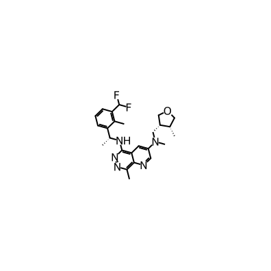 Cc1c(C(F)F)cccc1[C@@H](C)Nc1nnc(C)c2ncc(N(C)C[C@@H]3COC[C@@H]3C)cc12